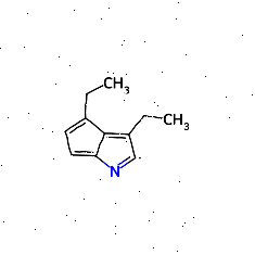 CCC1=CC=C2N=[C]C(CC)=C12